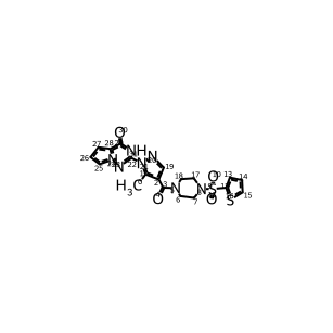 Cc1c(C(=O)N2CCN(S(=O)(=O)c3cccs3)CC2)cnn1-c1nn2cccc2c(=O)[nH]1